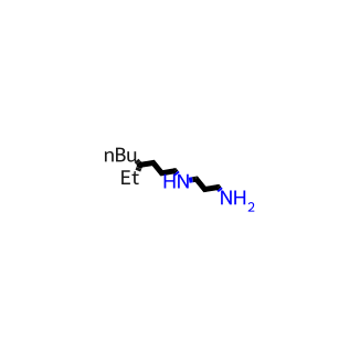 CCCCC(CC)CCCNCCCN